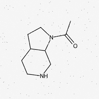 CC(=O)N1CCC2CCNCC21